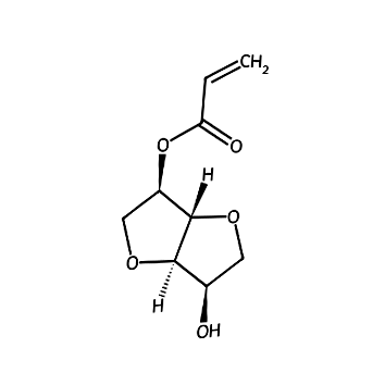 C=CC(=O)O[C@@H]1CO[C@H]2[C@H]1OC[C@H]2O